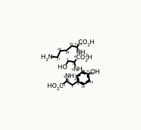 NC(CO)C(=O)O.NC(Cc1ccc(O)cc1)C(=O)O.NCCCCC(N)C(=O)O